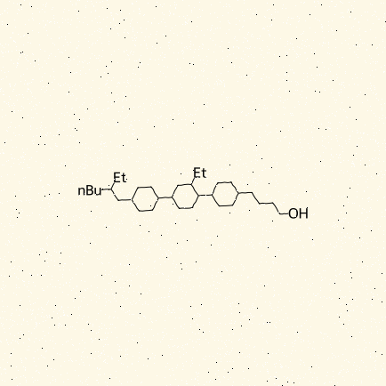 CCCCC(CC)CC1CCC(C2CCC(C3CCC(CCCCO)CC3)C(CC)C2)CC1